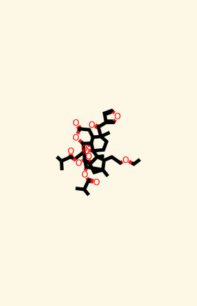 CCOCCC1C2(C)CC34OC5(C)OC67C(CC(=O)OC6C3(OC(=O)C(C)C)C2OC(=O)C(C)C)C(C)(C(=O)c2ccoc2)CCC7(O5)C14C